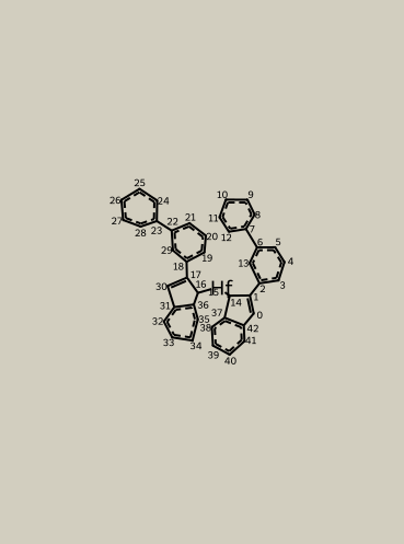 C1=C(c2cccc(-c3ccccc3)c2)[CH]([Hf][CH]2C(c3cccc(-c4ccccc4)c3)=Cc3ccccc32)c2ccccc21